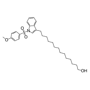 COc1ccc(S(=O)(=O)n2cc(CCCCCCCCCCCCCCO)c3ccccc32)cc1